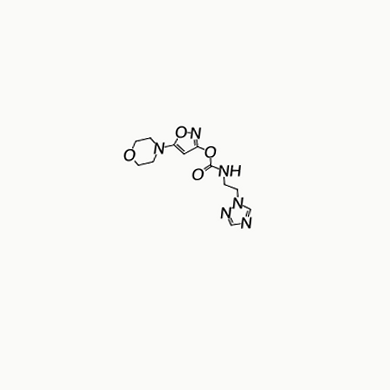 O=C(NCCn1cncn1)Oc1cc(N2CCOCC2)on1